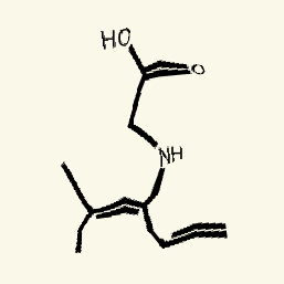 C=CC(NCC(=O)O)=C(C)C